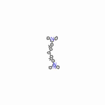 CC1(C)c2cc(-c3cccc(-c4ccc5c(c4)C(C)(C)c4cc(-c6cc(-c7ccccc7)nc(-c7ccccc7)n6)ccc4-5)c3)ccc2-c2ccc(-c3cc(-c4ccccc4)nc(-c4ccccc4)c3)cc21